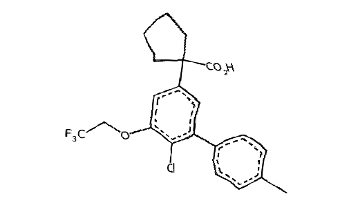 Cc1ccc(-c2cc(C3(C(=O)O)CCCC3)cc(OCC(F)(F)F)c2Cl)cc1